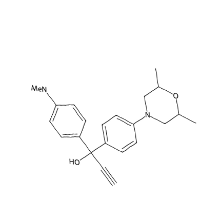 C#CC(O)(c1ccc(NC)cc1)c1ccc(N2CC(C)OC(C)C2)cc1